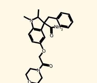 CC1N(C)c2ccc(OCC(=O)N3CCOCC3)cc2C1(Cc1ccccc1)C(N)=O